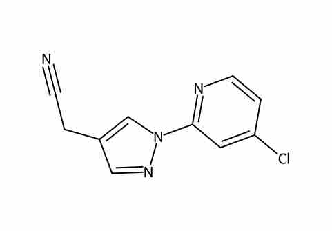 N#CCc1cnn(-c2cc(Cl)ccn2)c1